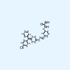 [NH]C(=O)NCc1cccc(OCCN2CCN([C@H](c3ccccc3)c3ccc(Cl)cc3)CC2)c1